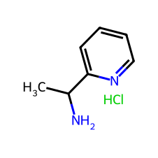 CC(N)c1ccccn1.Cl